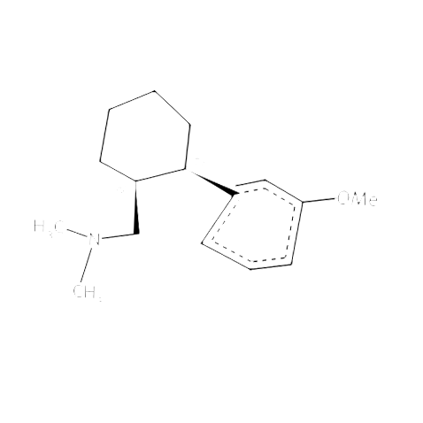 COc1cccc([C@@H]2CCCC[C@@H]2CN(C)C)c1